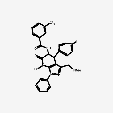 CCN1C(=O)C(NC(=O)c2cccc(C(F)(F)F)c2)C(c2ccc(F)cc2)c2c(CNC)nn(-c3ccccc3)c21